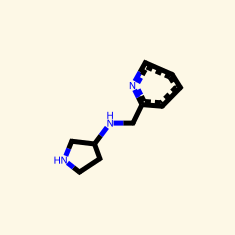 c1ccc(CNC2CCNC2)nc1